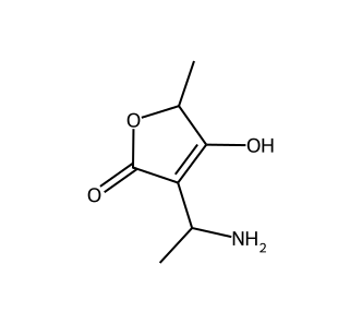 CC(N)C1=C(O)C(C)OC1=O